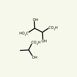 CC(O)C(=O)O.O=C(O)C(O)C(O)C(=O)O